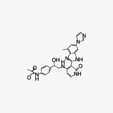 Cc1cc(-n2ccnc2)cc2[nH]c(-c3c(NCC(O)c4ccc(NS(C)(=O)=O)cc4)cc[nH]c3=O)nc12